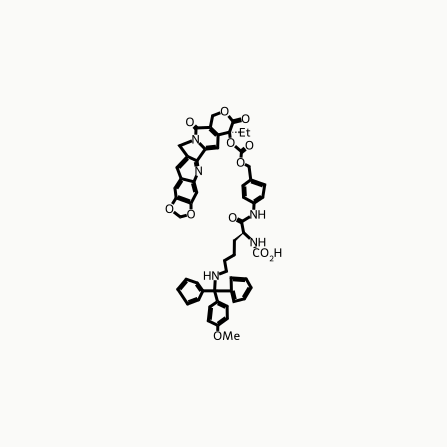 CC[C@@]1(OC(=O)OCc2ccc(NC(=O)[C@H](CCCCNC(c3ccccc3)(c3ccccc3)c3ccc(OC)cc3)NC(=O)O)cc2)C(=O)OCc2c1cc1n(c2=O)Cc2cc3cc4c(cc3nc2-1)OCO4